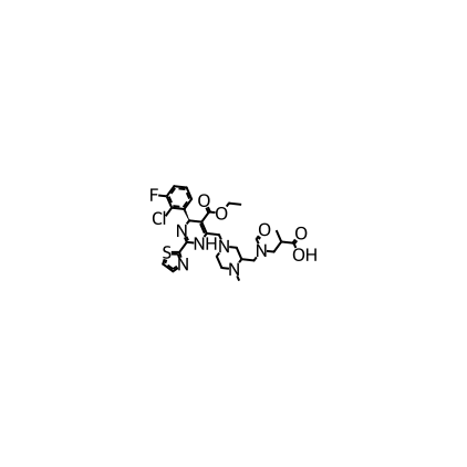 CCOC(=O)C1=C(CN2CCN(C)C(CN(C=O)CC(C)C(=O)O)C2)NC(c2nccs2)=N[C@H]1c1cccc(F)c1Cl